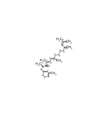 C=C(CC1=CC(C)=CCC1)N/C(C)=C/C=C(\C)CCCCC(=C)SC(=C)C